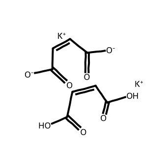 O=C(O)/C=C\C(=O)O.O=C([O-])/C=C\C(=O)[O-].[K+].[K+]